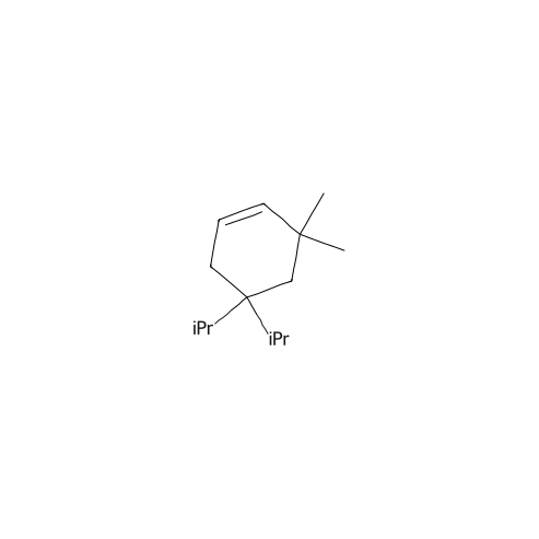 CC(C)C1(C(C)C)CC=CC(C)(C)C1